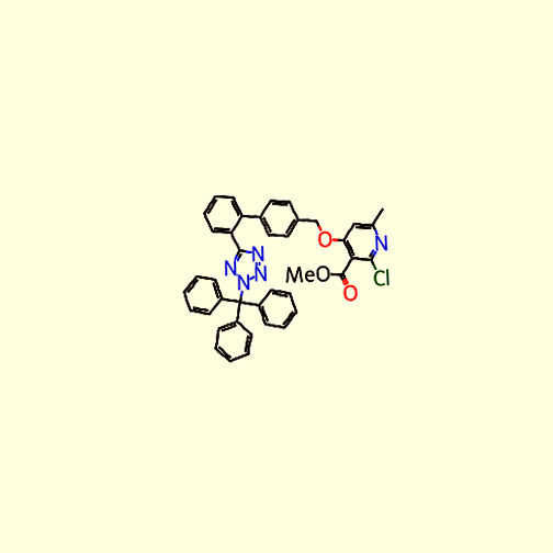 COC(=O)c1c(OCc2ccc(-c3ccccc3-c3nnn(C(c4ccccc4)(c4ccccc4)c4ccccc4)n3)cc2)cc(C)nc1Cl